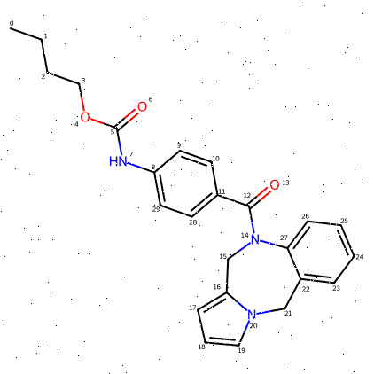 CCCCOC(=O)Nc1ccc(C(=O)N2Cc3cccn3Cc3ccccc32)cc1